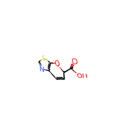 O=C(O)C1C=Cc2ncsc2O1